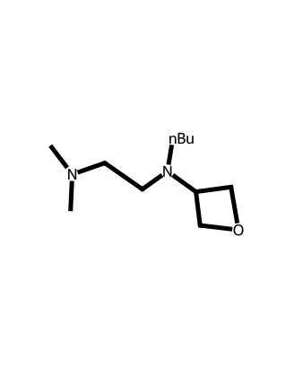 CCCCN(CCN(C)C)C1COC1